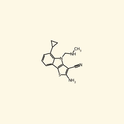 CNCn1c2c(C3CC3)cccc2c2sc(N)c(C#N)c21